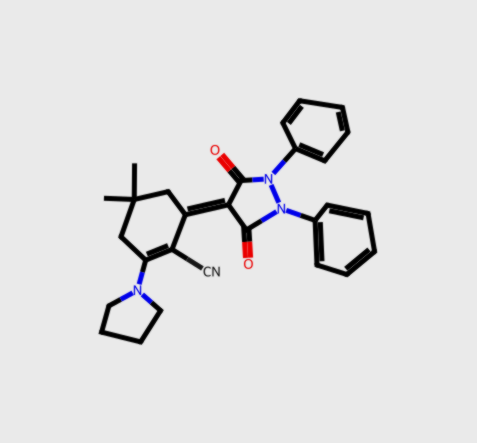 CC1(C)CC(=C2C(=O)N(c3ccccc3)N(c3ccccc3)C2=O)C(C#N)=C(N2CCCC2)C1